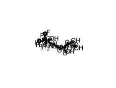 CC(C)(C)[C@H](c1cc(-c2cc(F)ccc2F)cn1Cc1ccccc1)N(CC[C@H](N)C(=O)NCCNC(=O)[C@@H](CCC(=O)O)NC(=O)CNC(=O)C(CC(=O)O)SC[C@H](N)C(=O)O)C(=O)CO